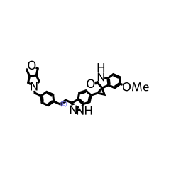 COc1ccc2c(c1)C1(CC1c1ccc3c(/C=C/c4ccc(CN5CC6COCC6C5)cc4)n[nH]c3c1)C(=O)N2